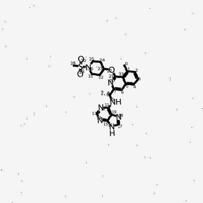 Cc1cccc2cc([C@@H](C)Nc3ncnc4[nH]cnc34)nc(OC3CCN(S(C)(=O)=O)CC3)c12